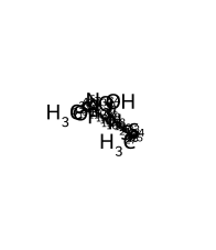 COc1ccc2nccc([C@@H](F)CCC3CCN(CCCSc4sccc4C)CC3CCC(=O)O)c2c1